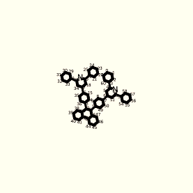 c1ccc(-c2cc(-c3ccc(-c4c(-c5ccc(-c6cc(-c7ccccc7)nc(-c7ccccc7)c6)cc5)c5ccccc5c5ccccc45)cc3)cc(-c3ccccc3)n2)cc1